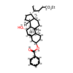 CCOC(=O)CCC(C)[C@H]1CC[C@H]2[C@@H]3[C@@H](O)C=C4C[C@H](OC(=O)c5ccccc5)CC[C@]4(C)[C@H]3CC[C@]12C